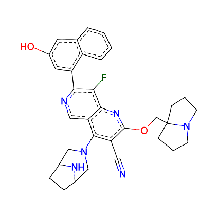 N#Cc1c(OCC23CCCN2CCC3)nc2c(F)c(-c3cc(O)cc4ccccc34)ncc2c1N1CC2CCC(C1)N2